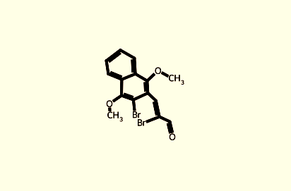 COc1c(Br)c(/C=C(\Br)C=O)c(OC)c2ccccc12